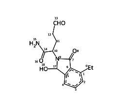 CCc1cccc2c1C(=O)N(C(CCC=O)C(N)=O)C2O